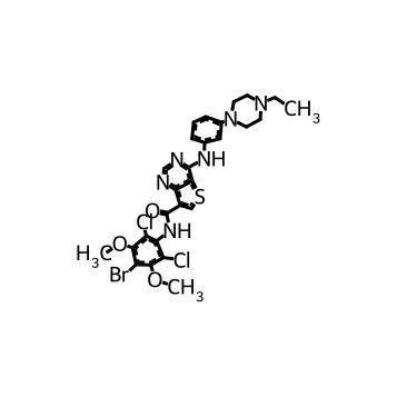 CCN1CCN(c2cccc(Nc3ncnc4c(C(=O)Nc5c(Cl)c(OC)c(Br)c(OC)c5Cl)csc34)c2)CC1